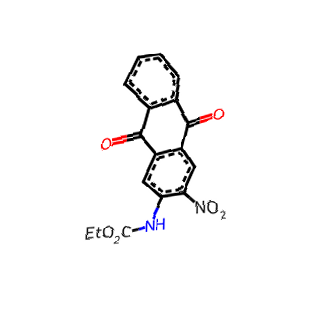 CCOC(=O)Nc1cc2c(cc1[N+](=O)[O-])C(=O)c1ccccc1C2=O